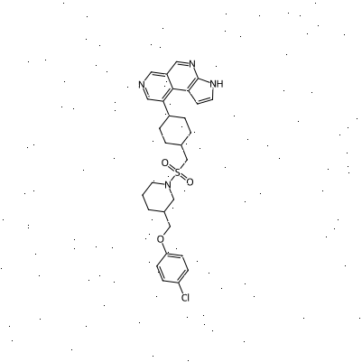 O=S(=O)(CC1CCC(c2cncc3cnc4[nH]ccc4c23)CC1)N1CCCC(COc2ccc(Cl)cc2)C1